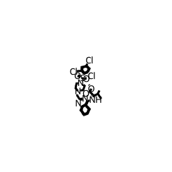 COC(=O)[C@@H](Nc1nc(CN2CCN(S(=O)(=O)c3c(Cl)cc(Cl)cc3Cl)CC2)nc2ccccc12)C(C)C